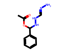 CC(=O)OC(NNC=NN)c1ccccc1